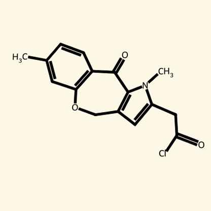 Cc1ccc2c(c1)OCc1cc(CC(=O)Cl)n(C)c1C2=O